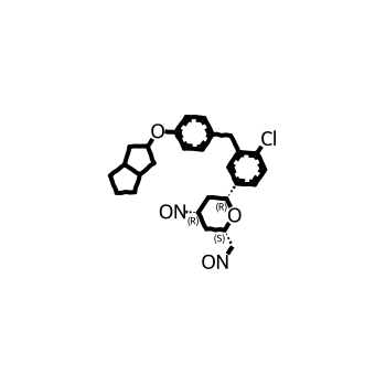 O=NC[C@@H]1C[C@H](N=O)C[C@H](c2ccc(Cl)c(Cc3ccc(OC4CC5CCCC5C4)cc3)c2)O1